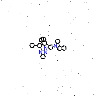 c1ccc(-c2cc(-c3ccccc3)cc(-c3nc4ccccc4nc3-n3c4ccc(-n5c6ccccc6c6c7ccccc7ccc65)cc4c4cc5ccccc5cc43)c2)cc1